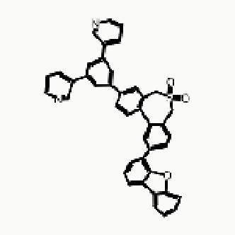 O=S1(=O)Cc2cc(-c3cc(-c4cccnc4)cc(-c4cccnc4)c3)ccc2-c2cc(-c3cccc4c3oc3ccccc34)ccc2C1